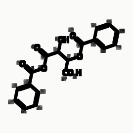 O=C(OC(=O)C(O)C(OC(=O)c1ccccc1)C(=O)O)c1ccccc1